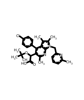 Cc1cccc(Cn2c(C)c(C)c3c(-c4ccc(Cl)cc4)c(C(OC(C)(C)C)C(=O)O)c(C)nc32)n1